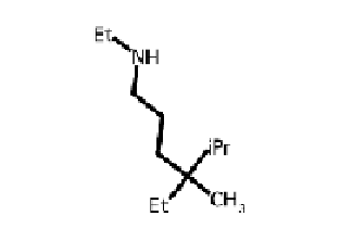 CCNCCCC(C)(CC)C(C)C